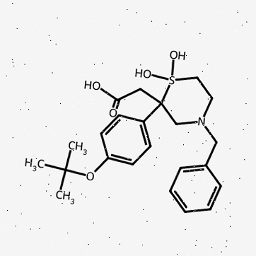 CC(C)(C)Oc1ccc(C2(CC(=O)O)CN(Cc3ccccc3)CCS2(O)O)cc1